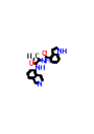 CC(NC(=O)c1cccc2[nH]ccc12)C(=O)Nc1cccc2cnccc12